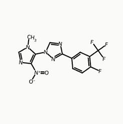 Cn1cnc([N+](=O)[O-])c1-n1cnc(-c2ccc(F)c(C(F)(F)F)c2)n1